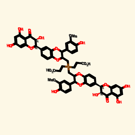 COc1cc(C2Oc3cc([C@H]4Oc5cc(O)cc(O)c5C(=O)[C@@H]4O)ccc3OC2CS(CCC(=O)O)(CCC(=O)O)CC2Oc3ccc([C@H]4Oc5cc(O)cc(O)c5C(=O)[C@@H]4O)cc3OC2c2ccc(O)c(OC)c2)ccc1O